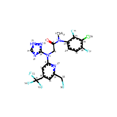 CN(C(=O)CN(c1cc(C(F)(F)F)cc(CF)n1)c1nc[nH]n1)c1ccc(F)c(Cl)c1F